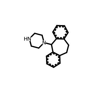 c1ccc2c(c1)CCc1ccccc1C2N1CCNCC1